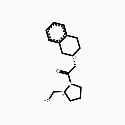 O=C(C[C@H]1CCc2ccccc2C1)N1CCC[C@H]1CO